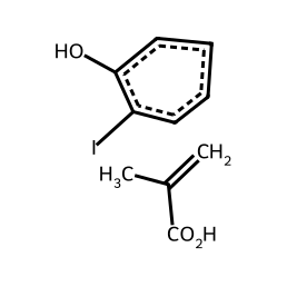 C=C(C)C(=O)O.Oc1ccccc1I